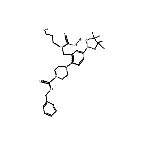 CC(C)(C)OC(=O)N(CCCO)Cc1cc(B2OC(C)(C)C(C)(C)O2)ccc1N1CCN(C(=O)OCc2ccccc2)CC1